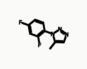 Cc1cnnn1-c1ccc(F)cc1F